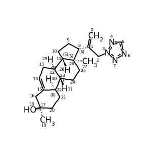 C=C(Cn1ncnn1)[C@H]1CC[C@H]2[C@@H]3CC=C4C[C@](C)(O)CC[C@@H]4[C@H]3CC[C@]12C